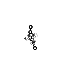 Cn1cc(S(=O)(=O)OCc2ccccc2)nc1C(Nc1ccc(-c2ccccc2)cc1)C(N)=O